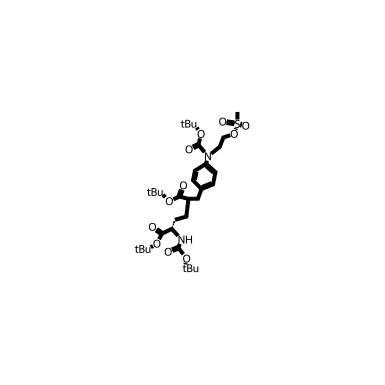 CC(C)(C)OC(=O)N[C@@H](CCC(Cc1ccc(N(CCOS(C)(=O)=O)C(=O)OC(C)(C)C)cc1)C(=O)OC(C)(C)C)C(=O)OC(C)(C)C